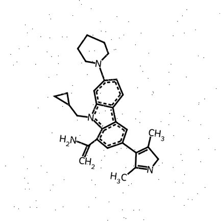 C=C(N)c1cc(C2=C(C)CN=C2C)cc2c3ccc(N4CCCCC4)cc3n(CC3CC3)c12